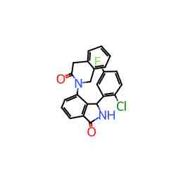 O=C1NC(c2cc(F)ccc2Cl)c2c1cccc2N1Cc2ccccc2CC1=O